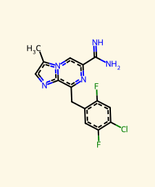 Cc1cnc2c(Cc3cc(F)c(Cl)cc3F)nc(C(=N)N)cn12